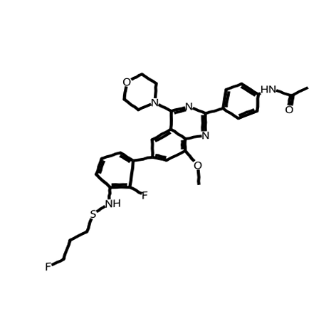 COc1cc(-c2cccc(NSCCCF)c2F)cc2c(N3CCOCC3)nc(-c3ccc(NC(C)=O)cc3)nc12